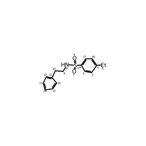 CCc1ccc(S(=O)(=O)NCCc2ccccc2)cc1